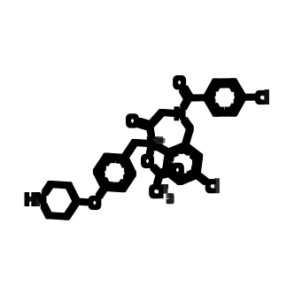 O=C(c1ccc(Cl)cc1)N1CC(=O)[N+](Cc2ccc(OC3CCNCC3)cc2)(OC(=O)C(F)(F)F)c2ccc(Cl)cc2C1